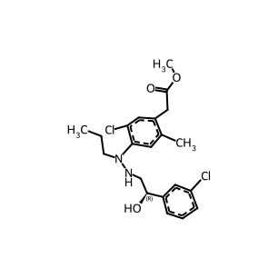 CCCN(NC[C@H](O)c1cccc(Cl)c1)c1cc(C)c(CC(=O)OC)cc1Cl